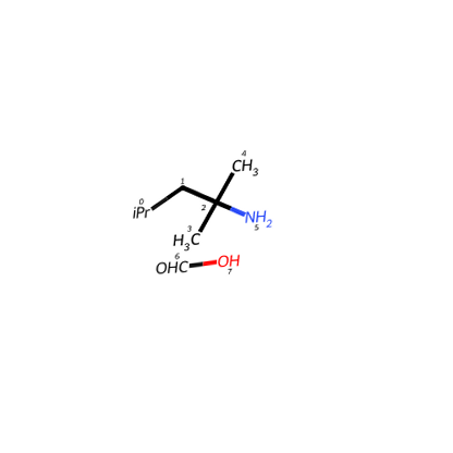 CC(C)CC(C)(C)N.O=CO